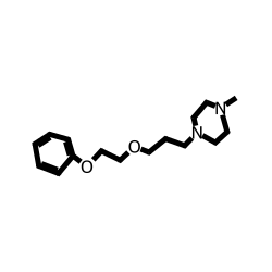 CN1CCN(CCCOCCOc2ccccc2)CC1